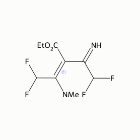 CCOC(=O)/C(C(=N)C(F)F)=C(/NC)C(F)F